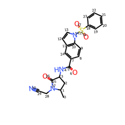 CC1CC(NC(=O)c2ccc3c(ccn3S(=O)(=O)c3ccccc3)c2)C(=O)N1CC#N